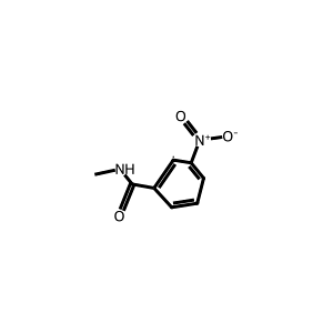 CNC(=O)c1[c]c([N+](=O)[O-])ccc1